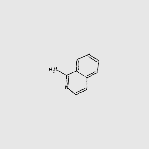 Nc1nccc2cc[c]cc12